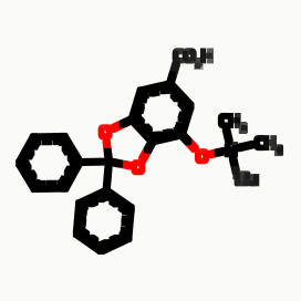 CC(C)(C)[Si](C)(C)Oc1cc(C(=O)O)cc2c1OC(c1ccccc1)(c1ccccc1)O2